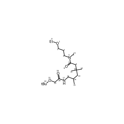 CCOCCCN(I)C(=O)CC(C)(C)CC(C)CNC(=O)COC(C)(C)C